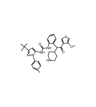 COc1cscc1C(=O)C(c1ccccc1NC(=O)Nc1cc(C(C)(C)C)nn1-c1ccc(C)cc1)C1CCNCC1